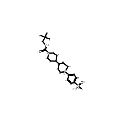 CC(C)(C)COC(=O)N1CCC(C2CCN(c3ccc(S(C)(=O)=O)cc3)CC2)CC1